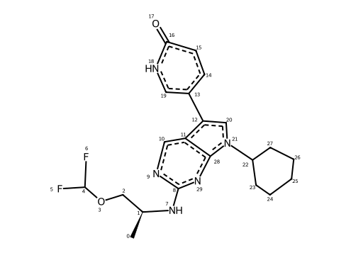 C[C@@H](COC(F)F)Nc1ncc2c(-c3ccc(=O)[nH]c3)cn(C3CCCCC3)c2n1